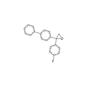 Fc1ccc(C2(c3ccc(-c4ccccc4)cc3)CO2)cc1